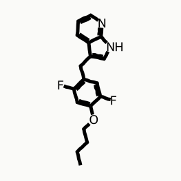 CCCCOc1cc(F)c(Cc2c[nH]c3ncccc23)cc1F